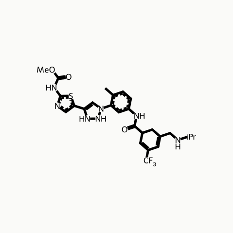 COC(=O)Nc1ncc(C2=CN(c3cc(NC(=O)C4C=C(C(F)(F)F)C=C(CNC(C)C)C4)ccc3C)NN2)s1